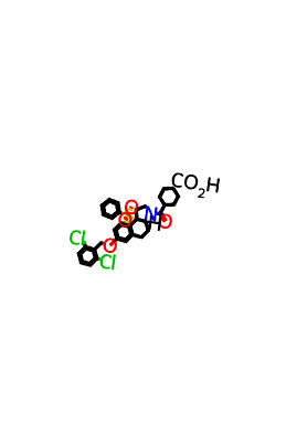 O=C(O)C1CCC(C(=O)N2CC[C@@]3(S(=O)(=O)c4ccccc4)c4ccc(OCc5c(Cl)cccc5Cl)cc4CC[C@@H]23)CC1